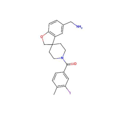 Cc1ccc(C(=O)N2CCC3(CC2)COc2ccc(CN)cc23)cc1I